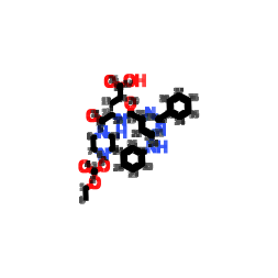 CCOC(=O)ON1CCN(C(=O)[C@H](CCC(=O)O)NC(=O)c2cc(Nc3ccccc3)nc(-c3ccccc3)n2)CC1